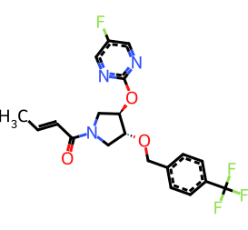 C/C=C/C(=O)N1C[C@@H](OCc2ccc(C(F)(F)F)cc2)[C@H](Oc2ncc(F)cn2)C1